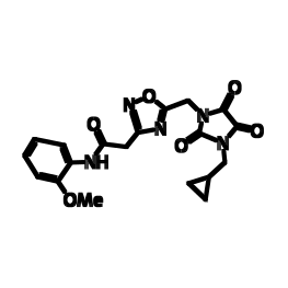 COc1ccccc1NC(=O)Cc1noc(CN2C(=O)C(=O)N(CC3CC3)C2=O)n1